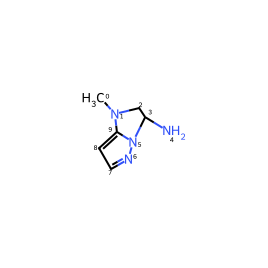 CN1CC(N)n2nccc21